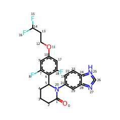 O=C1CCCC(c2c(F)cc(OCCC(F)F)cc2F)N1c1ccc2[nH]cnc2c1